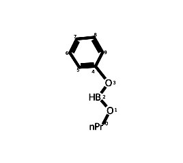 CCCOBOc1ccccc1